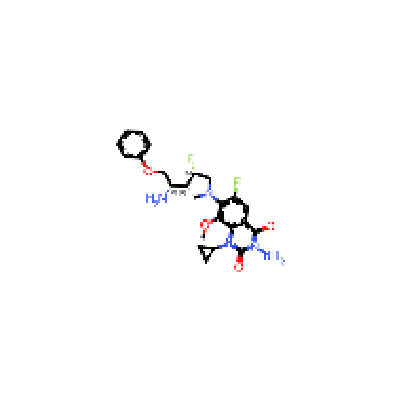 COc1c(N2C[C@H]([C@H](N)COc3ccccc3)[C@H](F)C2)c(F)cc2c(=O)n(N)c(=O)n(C3CC3)c12